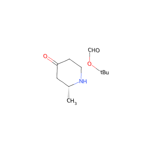 CC(C)(C)OC=O.C[C@@H]1CC(=O)CCN1